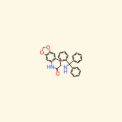 O=C1Nc2cc3c(cc2C[C@@H]1NC(c1ccccc1)(c1ccccc1)c1ccccc1)OCO3